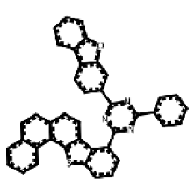 c1ccc(-c2nc(-c3ccc4c(c3)oc3ccccc34)nc(-c3cccc4sc5c(ccc6ccc7ccccc7c65)c34)n2)cc1